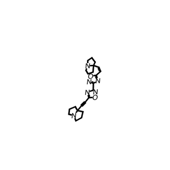 C(#CC12CCCN1CCC2)c1nc(-c2noc(/C=C\C34CCCN3CCC4)n2)no1